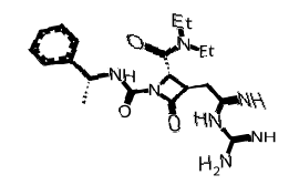 CCN(CC)C(=O)[C@@H]1[C@@H](CC(=N)NC(=N)N)C(=O)N1C(=O)N[C@H](C)c1ccccc1